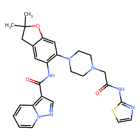 CC1(C)Cc2cc(NC(=O)c3cnn4ccccc34)c(N3CCN(CC(=O)Nc4nccs4)CC3)cc2O1